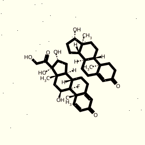 C[C@]12C=CC(=O)C=C1CC[C@H]1[C@@H]3C[C@@H](O)[C@](O)(C(=O)CO)[C@@]3(C)C[C@H](O)[C@@]12F.C[C@]12CC[C@H]3[C@@H](CCC4=CC(=O)CC[C@@]43C)[C@@H]1CC[C@@H]2O